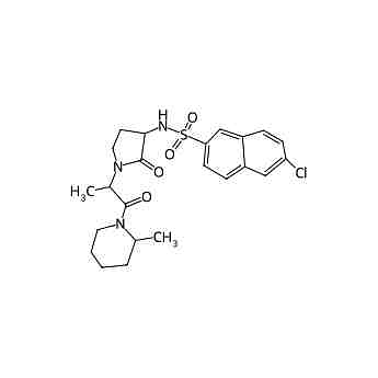 CC1CCCCN1C(=O)C(C)N1CCC(NS(=O)(=O)c2ccc3cc(Cl)ccc3c2)C1=O